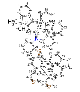 CC1(C)c2ccccc2-c2cc3c(cc21)N(c1cccc2c1sc1c4c(ccc12)C1(c2ccsc2-c2sccc21)c1ccc2c5c(ccc-4c15)CC2)c1ccccc1C3(c1ccccc1)c1ccccc1